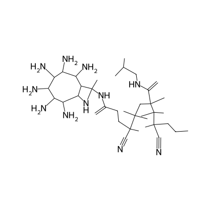 C=C(CCC(C)(C#N)C(C)(C)CC(C)(C(=C)NCC(C)C)C(C)(C)C(C)(C#N)CCC)NC1(C)NC2C(N)C(N)C(N)C(N)C(N)C(N)C21